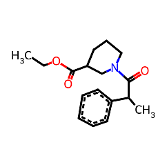 CCOC(=O)C1CCCN(C(=O)C(C)c2ccccc2)C1